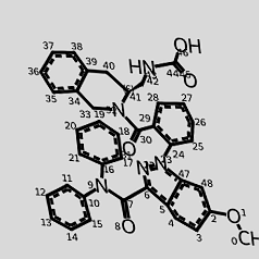 COc1ccc2c(C(=O)N(c3ccccc3)c3ccccc3)nn(-c3ccccc3C(=O)N3Cc4ccccc4C[C@H]3CNC(=O)O)c2c1